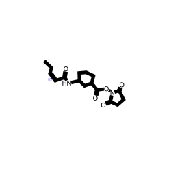 CC/C=C\C(=O)NC1CCCC(C(=O)ON2C(=O)CCC2=O)C1